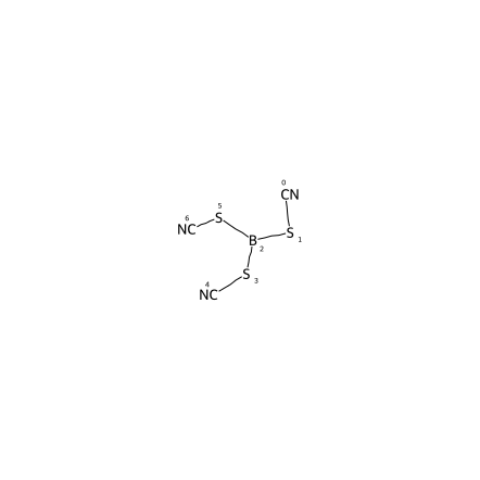 N#CSB(SC#N)SC#N